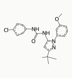 COc1cccc(-n2nc(C(C)(C)C)cc2NC(=O)Nc2ccc(Cl)cc2)c1